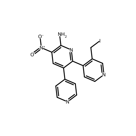 Nc1nc(-c2ccncc2CI)c(-c2ccncc2)cc1[N+](=O)[O-]